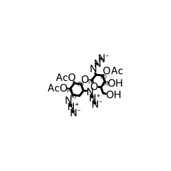 CC(=O)OC1[C@H](O[C@H]2OC(CO)[C@@H](O)[C@H](OC(C)=O)C2N=[N+]=[N-])C(N=[N+]=[N-])C[C@@H](N=[N+]=[N-])[C@H]1OC(C)=O